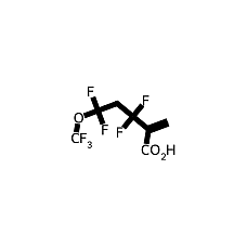 C=C(C(=O)O)C(F)(F)CC(F)(F)OC(F)(F)F